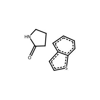 O=C1CCCN1.c1ccc2sccc2c1